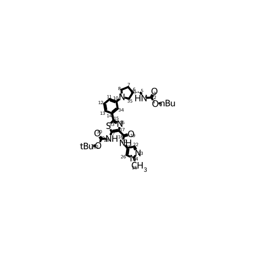 CCCCOC(=O)NC[C@H]1CCN(c2cccc(-c3nc(C(=O)Nc4cnn(C)c4)c(NC(=O)OC(C)(C)C)s3)c2)C1